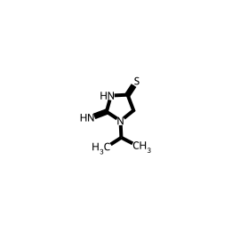 CC(C)N1CC(=S)NC1=N